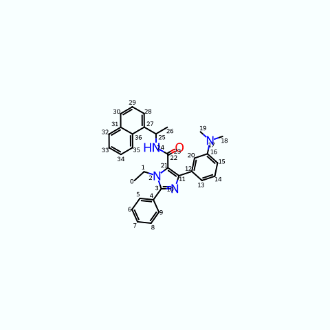 CCn1c(-c2ccccc2)nc(-c2cccc(N(C)C)c2)c1C(=O)NC(C)c1cccc2ccccc12